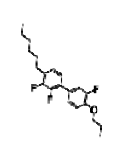 CCCCCCc1ccc(-c2ccc(OCCC)c(F)c2)c(F)c1F